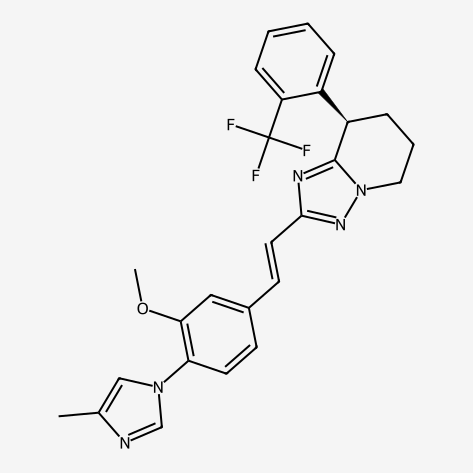 COc1cc(/C=C/c2nc3n(n2)CCC[C@@H]3c2ccccc2C(F)(F)F)ccc1-n1cnc(C)c1